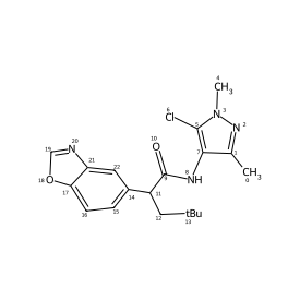 Cc1nn(C)c(Cl)c1NC(=O)C(CC(C)(C)C)c1ccc2ocnc2c1